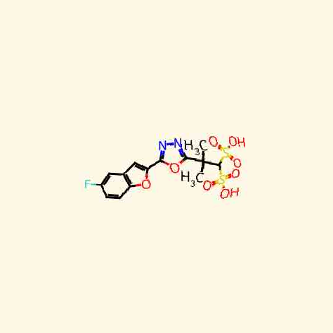 CC(C)(c1nnc(-c2cc3cc(F)ccc3o2)o1)C(S(=O)(=O)O)S(=O)(=O)O